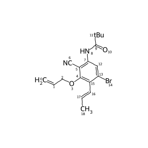 C=CCOc1c(C#N)c(NC(=O)C(C)(C)C)cc(Br)c1C=CC